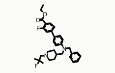 CCOC(=O)c1ccc(-c2ccc(N(Cc3ccccc3)CC3CCN(CC(C)(C)F)CC3)cc2)cc1F